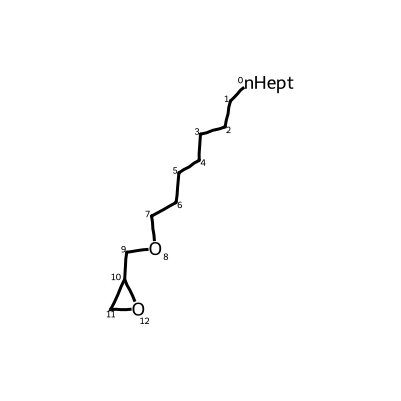 CCCCCCCCCCCCCCOCC1CO1